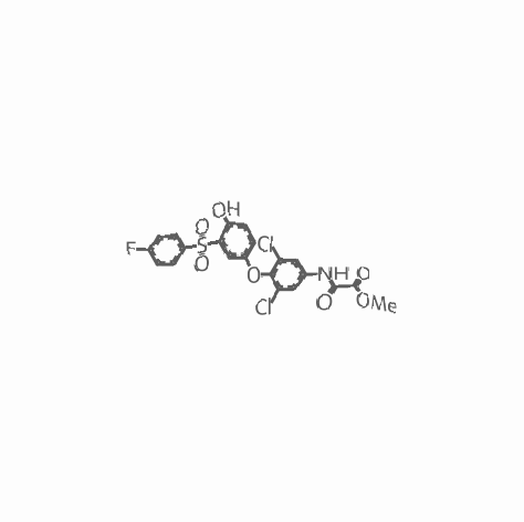 COC(=O)C(=O)Nc1cc(Cl)c(Oc2ccc(O)c(S(=O)(=O)c3ccc(F)cc3)c2)c(Cl)c1